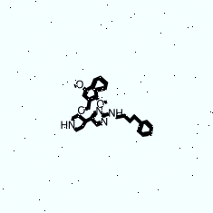 COc1cc(COC2CNCCC2c2cnc(NCCCCc3ccccc3)nc2)c(OC)c2ccccc12